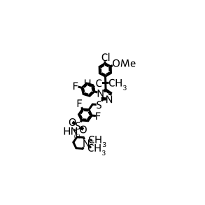 COc1cc(C(C)(C)c2cnc(SCc3c(F)cc(S(=O)(=O)N[C@H]4CCC[N+](C)(C)C4)cc3F)n2-c2ccc(F)cc2)ccc1Cl